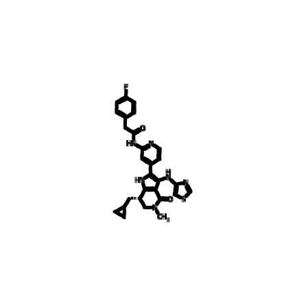 CN1C[C@H](CC2CC2)c2[nH]c(-c3ccnc(NC(=O)Cc4ccc(F)cc4)c3)c(Nc3cscn3)c2C1=O